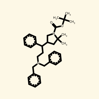 CC(C)(C)OC(=O)N1CC(C(CCN(Cc2ccccc2)Cc2ccccc2)c2ccccc2)CC1(C)C